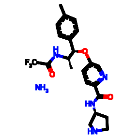 Cc1ccc([C@@H](Oc2ccc(C(=O)N[C@@H]3CCNC3)nc2)[C@H](C)NC(=O)C(F)(F)F)cc1.N